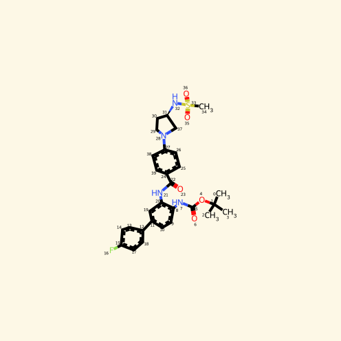 CC(C)(C)OC(=O)Nc1ccc(-c2ccc(F)cc2)cc1NC(=O)c1ccc(N2CC[C@@H](NS(C)(=O)=O)C2)cc1